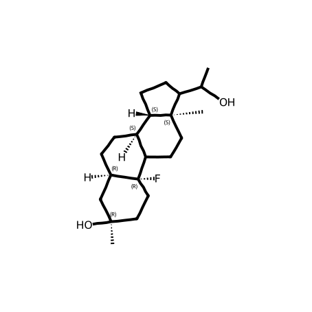 CC(O)C1CC[C@H]2[C@@H]3CC[C@@H]4C[C@](C)(O)CC[C@]4(F)C3CC[C@]12C